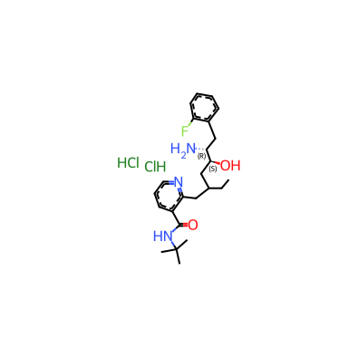 CCC(Cc1ncccc1C(=O)NC(C)(C)C)C[C@H](O)[C@H](N)Cc1ccccc1F.Cl.Cl